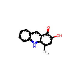 Cc1cc(O)c(=O)c2cc3ccccc3[nH]c1-2